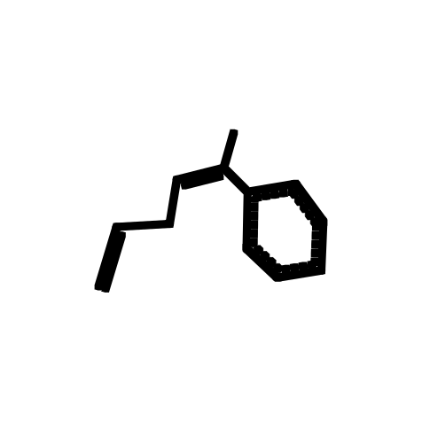 C=CC/C=C(/C)c1ccccc1